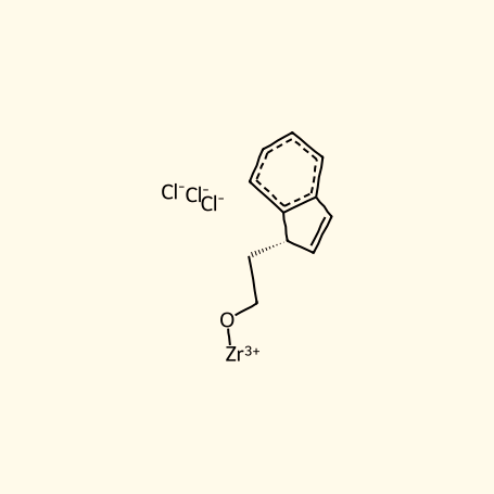 [Cl-].[Cl-].[Cl-].[Zr+3][O]CC[C@H]1C=Cc2ccccc21